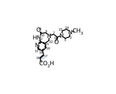 CN1CCN(C(=O)CN2CC(=O)Nc3ncc(/C=C/C(=O)O)cc3C2)CC1